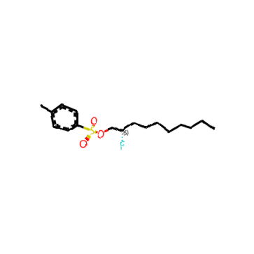 CCCCCCCC[C@H](F)COS(=O)(=O)c1ccc(C)cc1